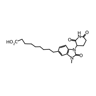 Cn1c(=O)n(C2CCC(=O)NC2=O)c2ccc(CCCCCCCCC(=O)O)cc21